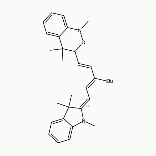 CCC(C)C(C=CC1ON(C)c2ccccc2C1(C)C)=C/C=C1/N(C)c2ccccc2C1(C)C